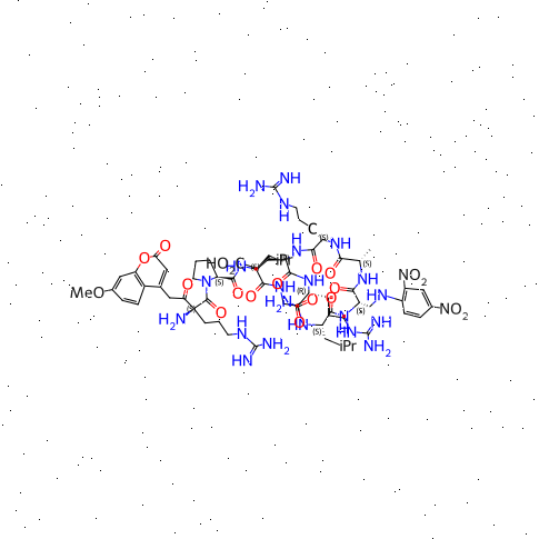 COc1ccc2c(CC(=O)[C@@](N)(CCCNC(=N)N)C(=O)N3CCC[C@H]3C(=O)N[C@@H](CC(C)C)C(=O)NCC(=O)N[C@@H](CC(C)C)C(=O)N[C@@H](CNc3ccc([N+](=O)[O-])cc3[N+](=O)[O-])C(=O)N[C@@H](C)C(=O)N[C@@H](CCCNC(=N)N)C(=O)N[C@H](CCC(=O)O)C(=O)N[C@H](CCCNC(=N)N)C(N)=O)cc(=O)oc2c1